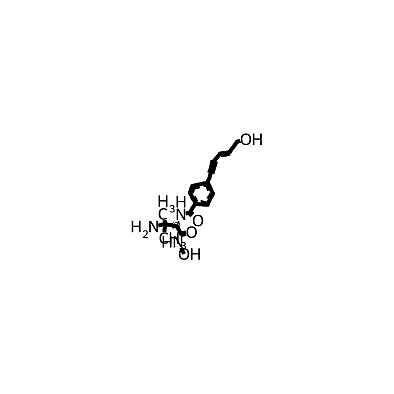 CC(C)(N)[C@H](NC(=O)c1ccc(C#CC=CCO)cc1)C(=O)NO